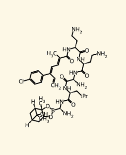 C=C/C(=C\C=C(/C)C(=O)N[C@@H](CCN)C(=O)N[C@@H](CCN)C(=O)N[C@@H](N)C(=O)N[C@@H](CC(C)C)C(=O)N[C@@H](N)B1OC2C[C@@H]3C[C@@H](C3(C)C)[C@]2(C)O1)c1ccc(Cl)cc1